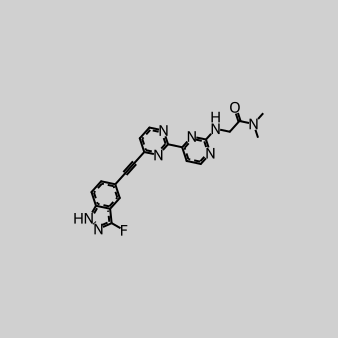 CN(C)C(=O)CNc1nccc(-c2nccc(C#Cc3ccc4[nH]nc(F)c4c3)n2)n1